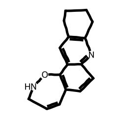 C1=Cc2ccc3nc4c(cc3c2ONC1)CCCC4